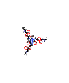 C/C=C/C(=O)OCCn1c(=O)n(CCOC(=O)/C=C/C)c(=O)n(CCOC(=O)/C=C/C)c1=O